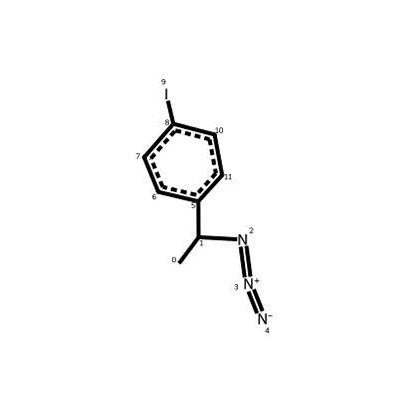 CC(N=[N+]=[N-])c1ccc(I)cc1